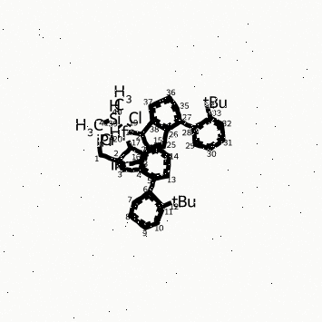 CC(C)CC1=Cc2c(-c3ccccc3C(C)(C)C)cccc2[CH]1[Hf]([Cl])([Cl])([CH]1C(CC(C)C)=Cc2c(-c3ccccc3C(C)(C)C)cccc21)[SiH](C)C